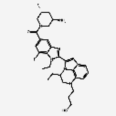 CCC1CN(CCCO)c2cccc3cc(-c4nc5cc(C(=O)N6C[C@H](N)C[C@@H](F)C6)cc(F)c5n4CC)n1c23